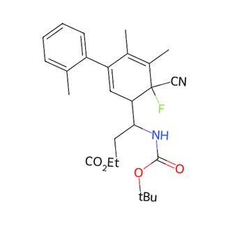 CCOC(=O)CC(NC(=O)OC(C)(C)C)C1C=C(c2ccccc2C)C(C)=C(C)C1(F)C#N